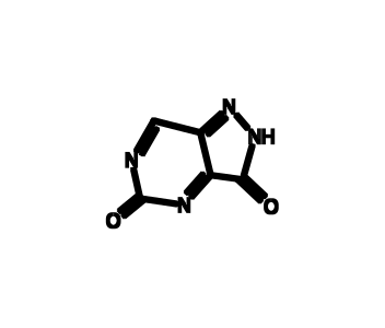 O=C1N=CC2=NNC(=O)C2=N1